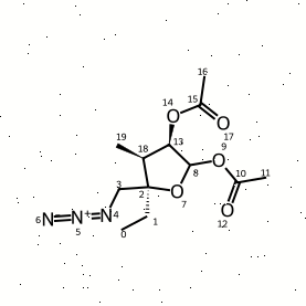 CC[C@@]1(CN=[N+]=[N-])OC(OC(C)=O)[C@H](OC(C)=O)[C@@H]1C